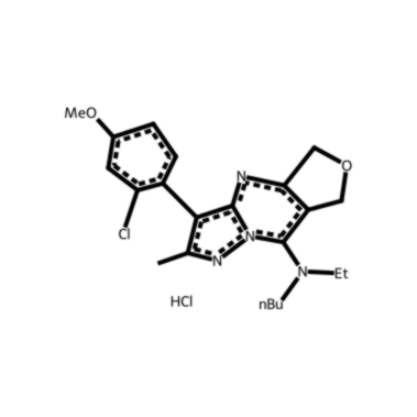 CCCCN(CC)c1c2c(nc3c(-c4ccc(OC)cc4Cl)c(C)nn13)COC2.Cl